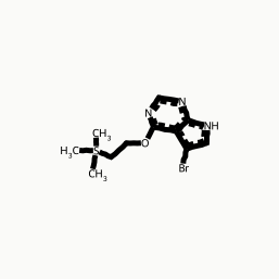 CS(C)(C)CCOc1ncnc2[nH]cc(Br)c12